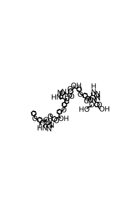 COC1CC(C(O)c2cccc(Oc3ccc(C(=O)c4c[nH]c5ncnc(NC6COC(CO)CC6OCCO)c45)c(Cl)c3)c2)OCC1Nc1ncnc2[nH]cc(C(=O)c3ccc(Oc4cccc(C(O)C5CC(OC)C(Nc6ncnc7[nH]cc(C(=O)c8ccc(Oc9ccccc9)cc8F)c67)CO5)c4)cc3C)c12